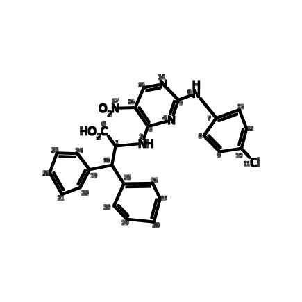 O=C(O)C(Nc1nc(Nc2ccc(Cl)cc2)ncc1[N+](=O)[O-])C(c1ccccc1)c1ccccc1